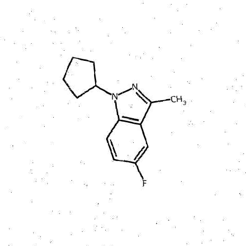 Cc1nn(C2CCCC2)c2ccc(F)cc12